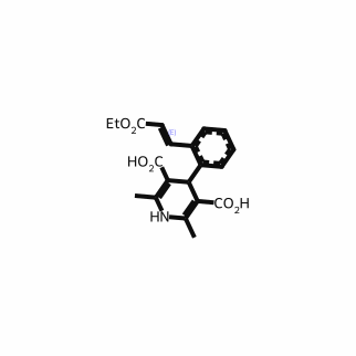 CCOC(=O)/C=C/c1ccccc1C1C(C(=O)O)=C(C)NC(C)=C1C(=O)O